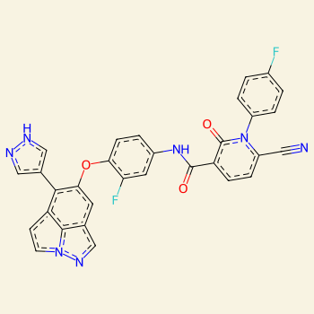 N#Cc1ccc(C(=O)Nc2ccc(Oc3cc4cnn5ccc(c3-c3cn[nH]c3)c45)c(F)c2)c(=O)n1-c1ccc(F)cc1